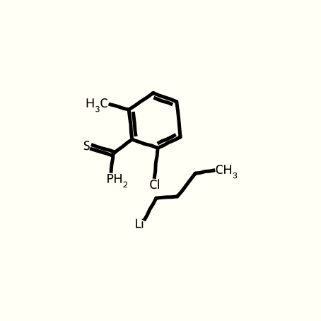 Cc1cccc(Cl)c1C(P)=S.[Li][CH2]CCC